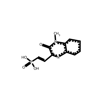 Cn1c(=O)c(/C=C/P(=O)(O)O)nc2ccccc21